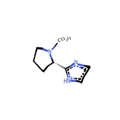 O=C(O)N1CCC[C@H]1c1ncc[nH]1